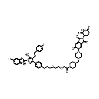 O=C1CCC(N2C(=O)C3=CC(=O)C(N4CCN(CC5CCN(C(=O)COCCOCCCc6ccc(-c7nn(-c8nc9cc(Cl)ccc9[nH]8)c(O)c7CCc7ccc(F)cc7)cc6)CC5)CC4)C=C3C2=O)C(=O)N1